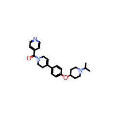 CC(C)N1CCC(Oc2ccc(C3=CCN(C(=O)c4ccncc4)CC3)cc2)CC1